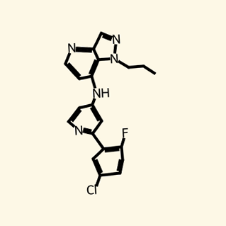 CCCn1ncc2nccc(Nc3ccnc(-c4cc(Cl)ccc4F)c3)c21